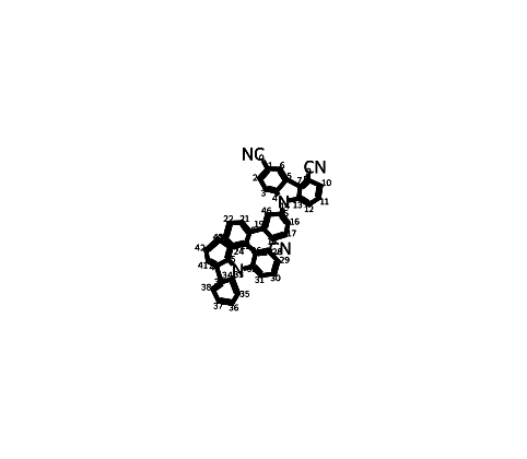 N#Cc1ccc2c(c1)c1c(C#N)cccc1n2-c1cccc(-c2ccccc2-c2c(C#N)cccc2-n2c3ccccc3c3ccccc32)c1